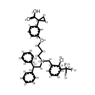 O=C(O)C1(c2cccc(OCCCN(Cc3cccc(C(F)(F)F)c3Cl)CC(c3ccccc3)c3ccccc3)c2)CC1